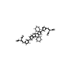 N#CC(C#N)=Cc1ccc(C2=CC3=C(c4sc5cc(-c6ccc(C=C(C#N)C#N)s6)sc5c4C34CCCCC4)C23CCCCC3)s1